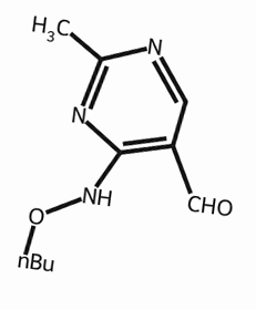 CCCCONc1nc(C)ncc1C=O